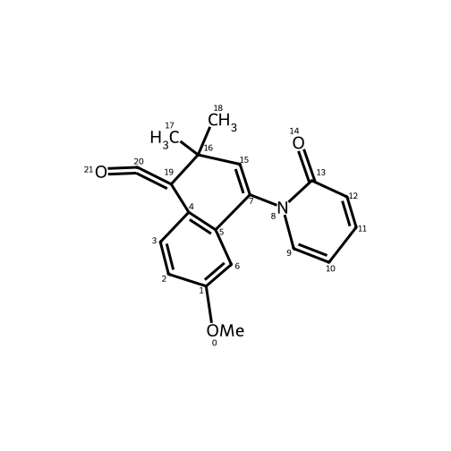 COc1ccc2c(c1)C(n1ccccc1=O)=CC(C)(C)C2=C=O